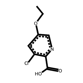 CCOc1cnc(C(=O)O)c(Cl)c1